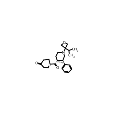 CC(C)C1(N2CC[C@@H](C(=O)N3CCC(=O)CC3)[C@H](c3ccccc3)C2)COC1